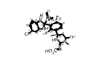 CN1C(=O)C[C@@](C)(c2ccc(F)c(C3(N(C)C)Nc4ccc(Cl)cc4N3)c2F)N/C1=N\C(=O)O